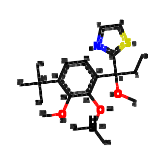 CCC(OC)(c1nccs1)c1ccc(C(C)(C)C)c(OC)c1O[SiH](C)C